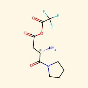 N[C@@H](CC(=O)OC(=O)C(F)(F)F)C(=O)N1CCCC1